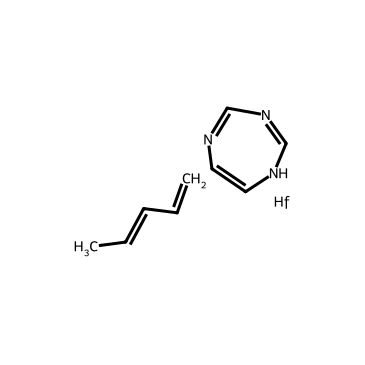 C1=CNC=NC=N1.C=CC=CC.[Hf]